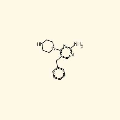 Nc1ncc(Cc2ccccc2)c(N2CCNCC2)n1